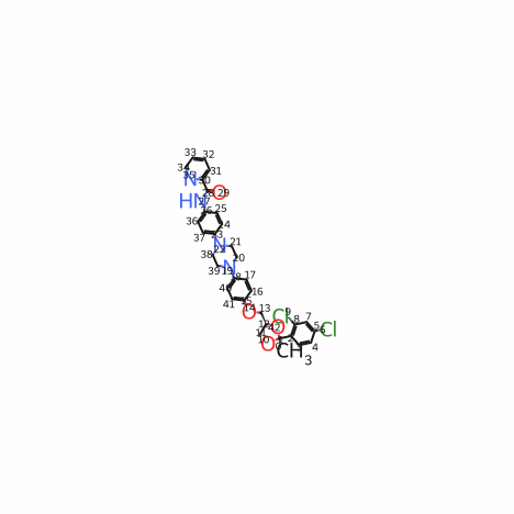 C[C@@]1(c2ccc(Cl)cc2Cl)OC[C@@H](COc2ccc(N3CCN(c4ccc(NC(=O)c5ccccn5)cc4)CC3)cc2)O1